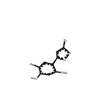 CCc1cc(-c2cc(C(C)C)c(OC)cc2OC)on1